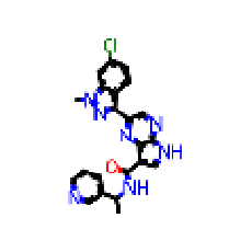 CC(NC(=O)c1c[nH]c2ncc(-c3nn(C)c4cc(Cl)ccc34)nc12)c1cccnc1